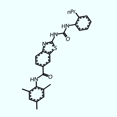 CCCc1ccccc1NC(=O)Nc1nc2ccc(C(=O)Nc3c(C)cc(C)cc3C)cc2s1